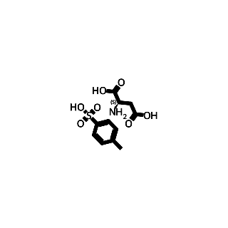 Cc1ccc(S(=O)(=O)O)cc1.N[C@@H](CC(=O)O)C(=O)O